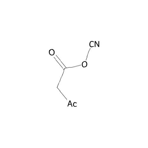 CC(=O)CC(=O)OC#N